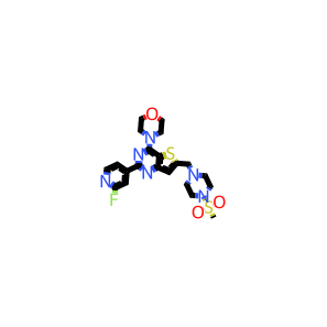 CS(=O)(=O)N1CCN(Cc2cc3nc(-c4ccnc(F)c4)nc(N4CCOCC4)c3s2)CC1